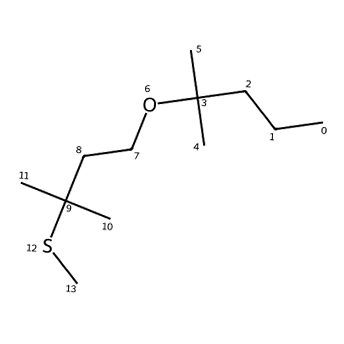 CCCC(C)(C)OCCC(C)(C)SC